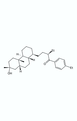 CCc1ccc(C(=O)[C@H](CC)CC[C@@H]2CCC[C@H]3[C@H]2CC[C@@H]2C[C@](C)(O)CC[C@@]23C)cc1